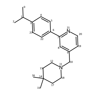 CC(C)c1ccc(-c2cc(CN3CCC(C)(C)CC3)ccn2)cc1